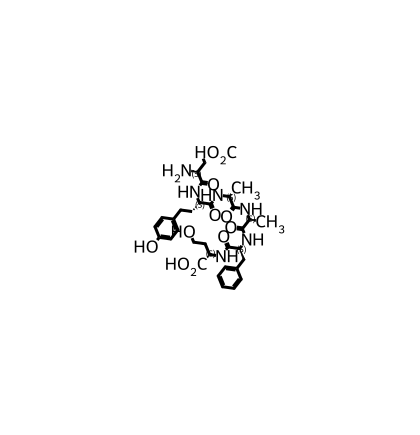 C[C@H](NC(=O)[C@H](C)NC(=O)[C@H](CCc1ccc(O)cc1)NC(=O)[C@@H](N)CC(=O)O)C(=O)N[C@@H](Cc1ccccc1)C(=O)N[C@@H](CCO)C(=O)O